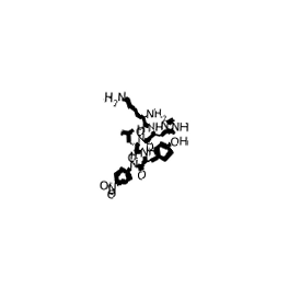 CC(C)C[C@H](NC(=O)[C@H](Cc1c[nH]cn1)NC(=O)[C@@H](N)CCCCN)C(=O)N[C@@H](Cc1ccc(O)cc1)C(=O)Nc1ccc([N+](=O)[O-])cc1